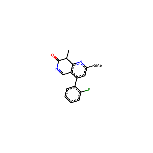 CSc1cc(-c2ccccc2F)c2c(n1)C(C)C(=O)N=C2